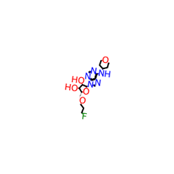 O[C@@H]1[C@H](O)[C@@H](COCCCF)O[C@H]1n1cnc2c(NC3CCOCC3)ncnc21